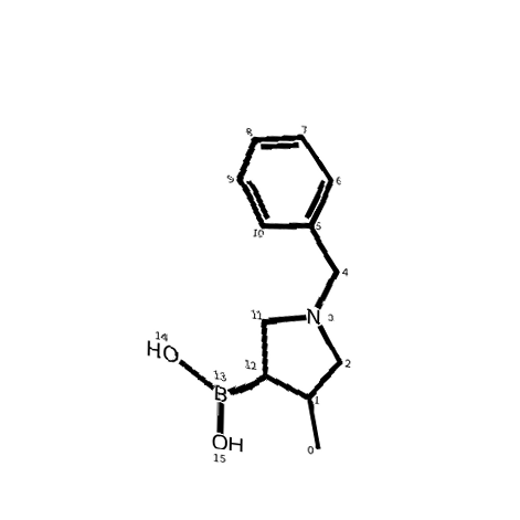 CC1CN(Cc2ccccc2)CC1B(O)O